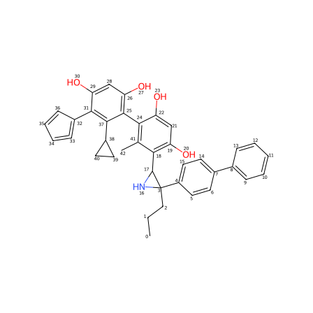 CCCC1(c2ccc(-c3ccccc3)cc2)NC1c1c(O)cc(O)c(-c2c(O)cc(O)c(C3=C=CC=C3)c2C2CC2)c1C